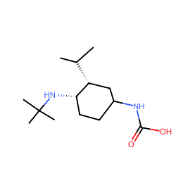 CC(C)[C@@H]1CC(NC(=O)O)CC[C@@H]1NC(C)(C)C